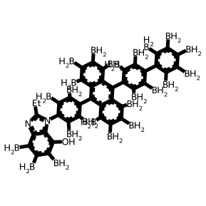 Bc1c(B)c(B)c(-c2c(B)c(B)c(-c3c4c(B)c(B)c(B)c(B)c4c(-c4c(B)c(B)c(-n5c(CC)nc6c(B)c(B)c(B)c(O)c65)c(B)c4B)c4c(B)c(B)c(B)c(B)c34)c(B)c2B)c(B)c1B